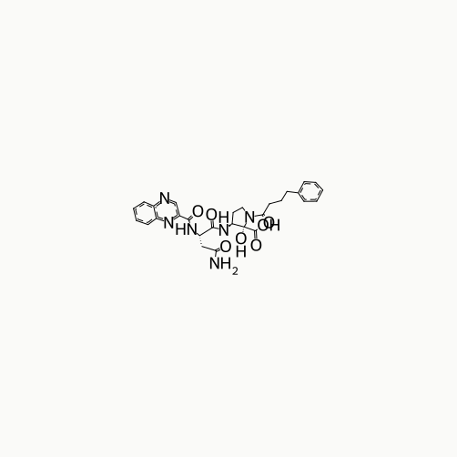 NC(=O)C[C@H](NC(=O)c1cnc2ccccc2n1)C(=O)N[C@H]1CCN(C(=O)CCCc2ccccc2)[C@@]1(O)C(=O)O